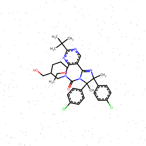 CCOc1nc(C(C)(C)C)ncc1C1=NC(C)(c2ccc(Cl)cc2)C(C)(c2ccc(Cl)cc2)N1C(=O)N1CCCC(CO)C1